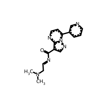 CN(C)CC=NC(=O)c1cnn2c(-c3cccnc3)ccnc12